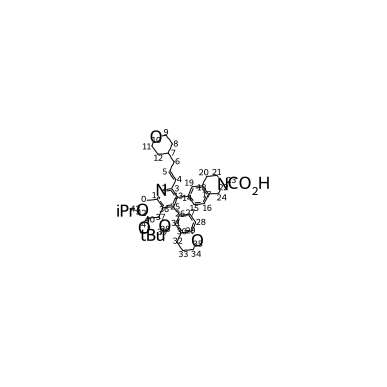 Cc1nc(C=CCC2CCOCC2)c(-c2ccc3c(c2)CCN(C(=O)O)C3)c(-c2ccc3c(c2)CCCO3)c1C(OC(C)(C)C)C(=O)OC(C)C